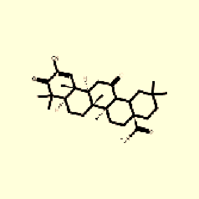 CC1(C)CC[C@]2(C(N)=O)CC[C@]3(C)C(C(=O)C[C@@H]4[C@@]5(C)C=C(C#N)C(=O)C(C)(C)[C@@H]5CC[C@]43C)C2C1